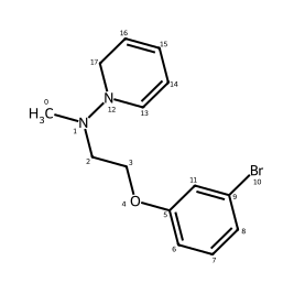 CN(CCOc1cccc(Br)c1)N1C=CC=CC1